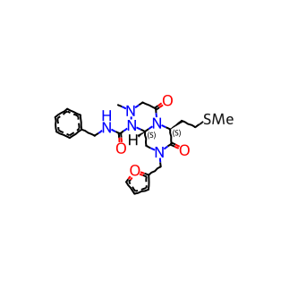 CSCC[C@H]1C(=O)N(Cc2ccco2)C[C@H]2N1C(=O)CN(C)N2C(=O)NCc1ccccc1